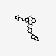 Cn1ncc2cc(N3CCC(CN(C(=O)C4CCCC(O)C4)c4cncc(/C=C/c5ncco5)n4)CC3)ccc21